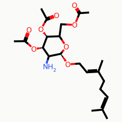 CC(=O)OCC1O[C@@H](OC/C=C(\C)CCC=C(C)C)C(N)[C@@H](OC(C)=O)[C@H]1OC(C)=O